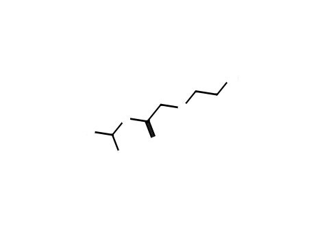 CCCOCC(=O)OC(C)C